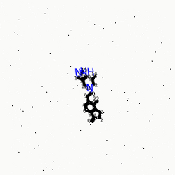 C=C1CCc2c1ccc(CCN(CCC)Cc1cn[nH]c1)c2C